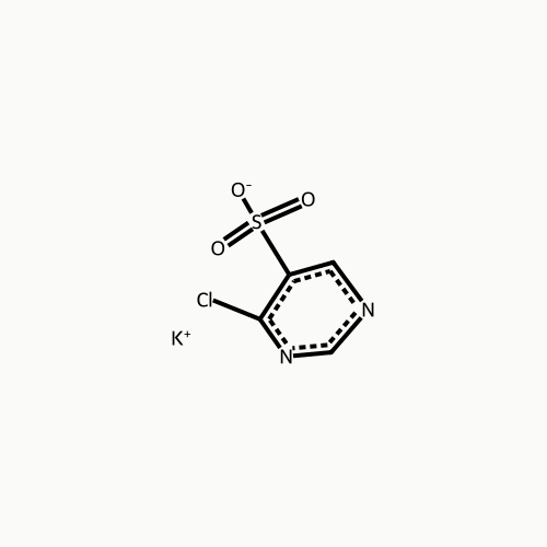 O=S(=O)([O-])c1cncnc1Cl.[K+]